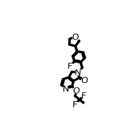 CC(F)(F)COc1nccc2c1C(=O)N(Cc1ccc(C3CCOC3)cc1F)C2